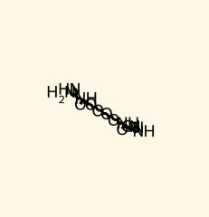 N=C/C(=C\N)CNC(=O)CCOCCOCCOCCOCCNC(=O)OCc1c[nH]nn1